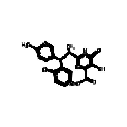 COC(=O)c1nc(C(C)C(c2cnc(C)nc2)c2ccccc2Cl)[nH]c(=O)c1O